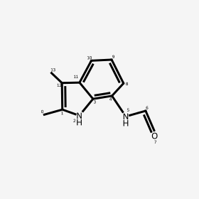 Cc1[nH]c2c(NC=O)cccc2c1C